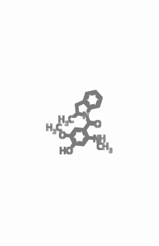 CNc1cc(O)c(OC)cc1C(=O)N1c2ccccc2CC1C